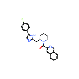 O=C(c1cc2ccccc2cn1)N1CCCCC1Cc1ncc(-c2ccc(F)cc2)[nH]1